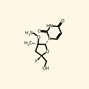 C[C@@]1(O[SiH3])C[C@@](F)(CO)O[C@H]1n1ccc(=O)[nH]c1=O